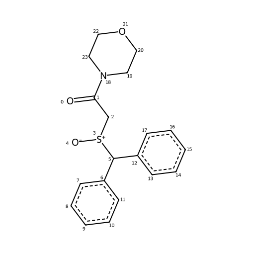 O=C(C[S+]([O-])C(c1ccccc1)c1ccccc1)N1CCOCC1